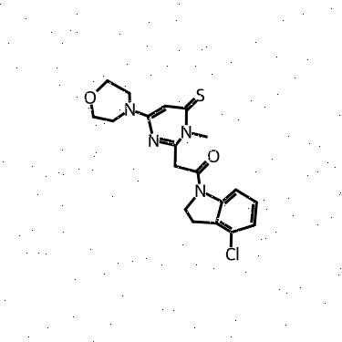 Cn1c(CC(=O)N2CCc3c(Cl)cccc32)nc(N2CCOCC2)cc1=S